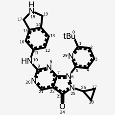 CC(C)(C)c1cccc(-n2c3nc(Nc4ccc5c(c4)CNC5)ncc3c(=O)n2C2CC2)n1